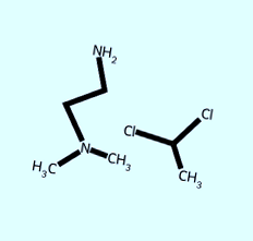 CC(Cl)Cl.CN(C)CCN